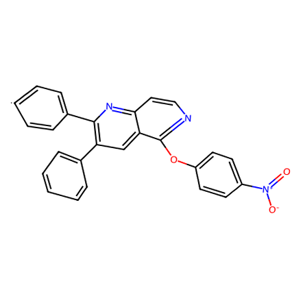 O=[N+]([O-])c1ccc(Oc2nccc3nc(-c4cc[c]cc4)c(-c4ccccc4)cc23)cc1